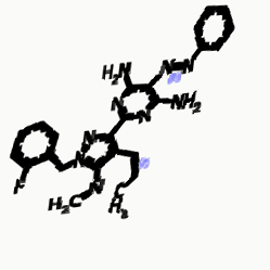 C=Nc1c(/C=C\C)c(-c2nc(N)c(/N=N/c3ccccc3)c(N)n2)nn1Cc1ccccc1F